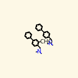 CN(C)Cc1ccc(-c2ccccc2)cc1.CN(C)Cc1ccc(-c2ccccc2)cc1C=O